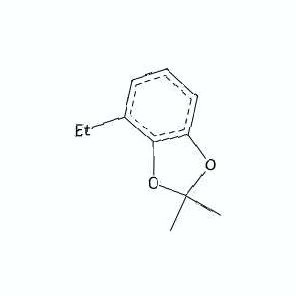 CCc1cccc2c1OC(C)(C)O2